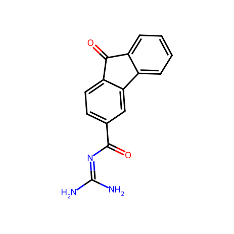 NC(N)=NC(=O)c1ccc2c(c1)-c1ccccc1C2=O